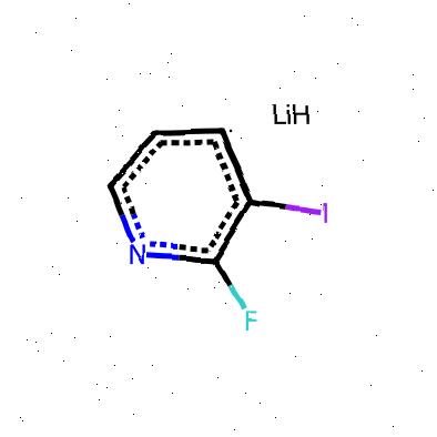 Fc1ncc[c]c1I.[LiH]